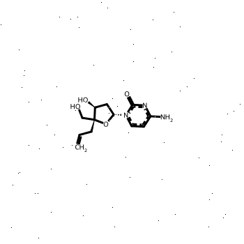 C=CC[C@]1(CO)O[C@@H](n2ccc(N)nc2=O)C[C@@H]1O